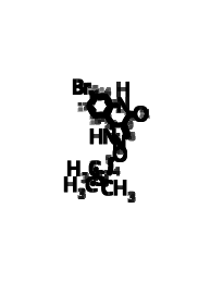 C[Si](C)(C)CCON1C=C2C(=O)Nc3cc(Br)ccc3C2N1